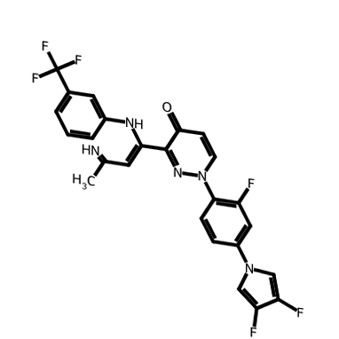 CC(=N)/C=C(\Nc1cccc(C(F)(F)F)c1)c1nn(-c2ccc(-n3cc(F)c(F)c3)cc2F)ccc1=O